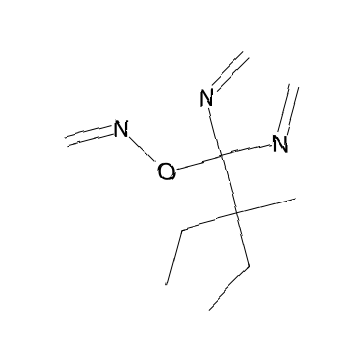 C=NOC(N=C)(N=C)C(C)(CC)CC